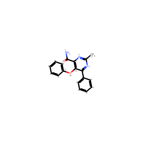 NC(=O)c1nc(C(F)(F)F)nc(-c2ccccc2)c1Oc1ccccc1